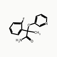 CC(Oc1cccnc1)(C(N)=O)c1ccccc1F